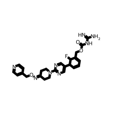 N=C(N)NC(=O)OCC1=CC=CC(c2cnc(N3CCC(=NOCc4ccncc4)CC3)nc2)C1F